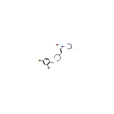 O=C1N=C(N2CCC(O)C2)/C(=C/C2CCN(Cc3ccc(C(F)(F)F)cc3C(F)(F)F)CC2)S1